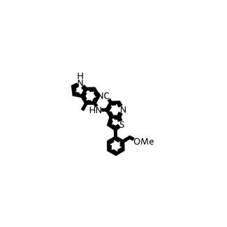 COCc1ccccc1-c1cc2c(Nc3ccc4[nH]ccc4c3C)c(C#N)cnc2s1